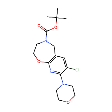 CC(C)(C)OC(=O)N1CCOc2nc(N3CCOCC3)c(Cl)cc2C1